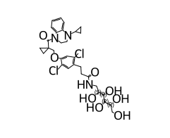 O=C(CCc1cc(Cl)c(OCC2(C(=O)N3CCN(C4CC4)c4ccccc43)CC2)cc1Cl)NC[C@H](O)[C@@H](O)[C@H](O)[C@H](O)CO